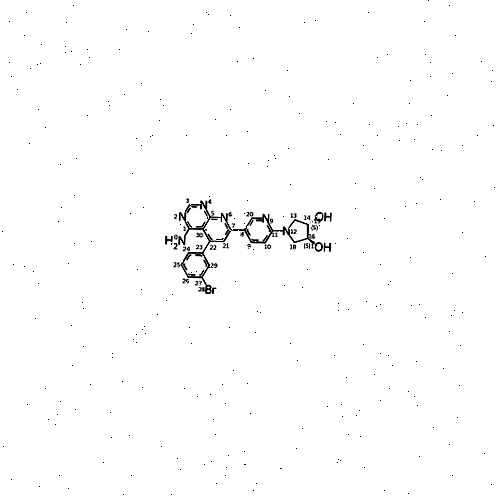 Nc1ncnc2nc(-c3ccc(N4C[C@H](O)[C@@H](O)C4)nc3)cc(-c3cccc(Br)c3)c12